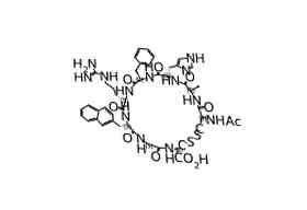 CC(=O)N[C@H]1CSSC[C@@H](C(=O)O)NC(=O)[C@H](C)NC(=O)[C@H](Cc2ccc3ccccc3c2)NC(=O)[C@H](CCCNC(=N)N)NC(=O)[C@@H](Cc2ccccc2)NC(=O)[C@H](Cc2c[nH]cn2)NC(=O)[C@@H](C)NC1=O